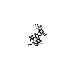 CCOC(=O)N(c1ccccc1Cl)c1c(C)noc1-c1ccc(Cc2cc(CC(=O)O)ccc2OC)cc1